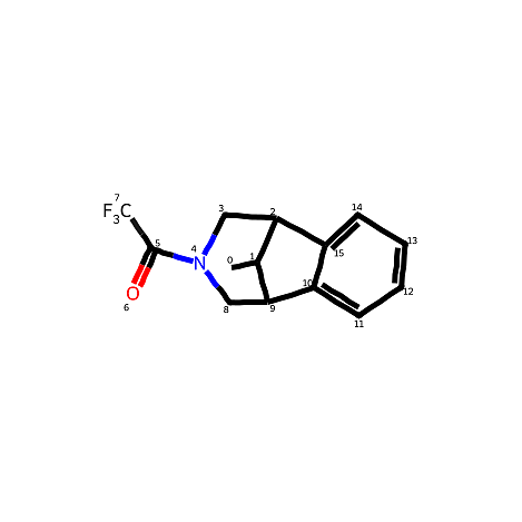 CC1C2CN(C(=O)C(F)(F)F)CC1c1ccccc12